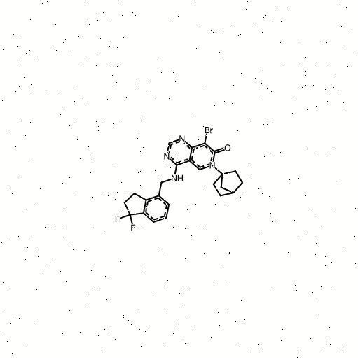 O=c1c(Br)c2ncnc(NCc3cccc4c3CCC4(F)F)c2cn1C12CCC(CC1)C2